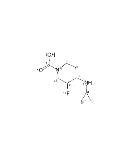 O=C(O)N1CCC(NC2CC2)C(F)C1